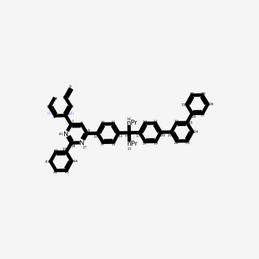 C=C/C=C(\C=C/C)c1cc(-c2ccc(C(CCC)(CCC)c3ccc(-c4cccc(-c5ccccc5)c4)cc3)cc2)nc(C2=CCCC=C2)n1